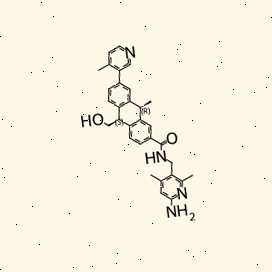 Cc1ccncc1-c1ccc2c(c1)[C@@H](C)c1cc(C(=O)NCc3c(C)cc(N)nc3C)ccc1[C@H]2CO